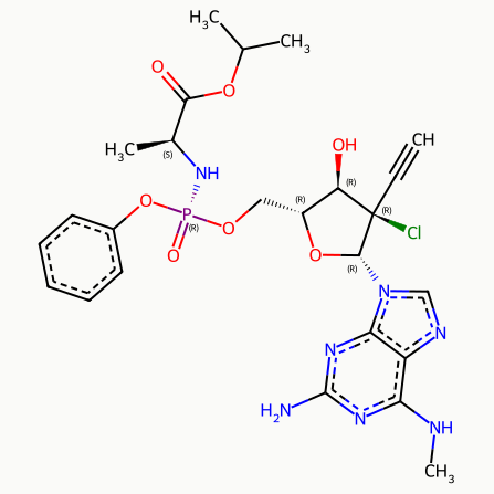 C#C[C@@]1(Cl)[C@H](O)[C@@H](CO[P@](=O)(N[C@@H](C)C(=O)OC(C)C)Oc2ccccc2)O[C@H]1n1cnc2c(NC)nc(N)nc21